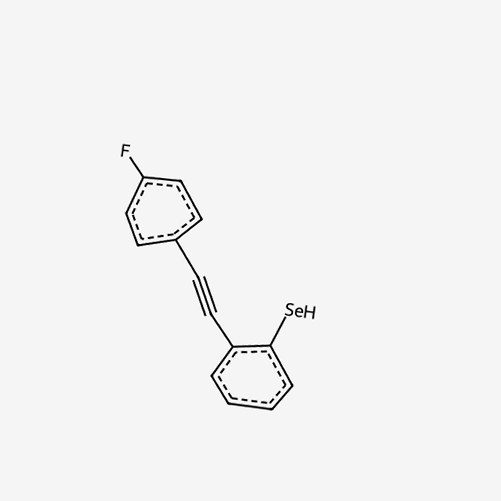 Fc1ccc(C#Cc2ccccc2[SeH])cc1